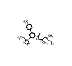 CCc1nnnn1-c1cc(C(=O)N[C@H](C)CN(C)CCO)cc(-c2ccc(C)cc2)c1